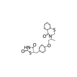 CC(COc1ccc(CC2SC(=O)NC2=O)cc1)N1CSc2ccccc2C1=O